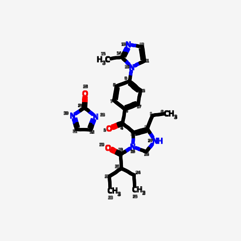 CCC1=C(C(=O)c2ccc(-n3ccnc3C)cc2)N(C(=O)C(CC)CC)CN1.O=C1N=CC=N1